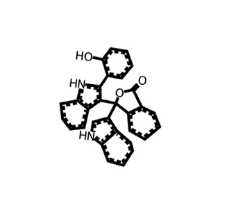 O=C1OC(c2c[nH]c3ccccc23)(c2c(-c3ccccc3O)[nH]c3ccccc23)c2ccccc21